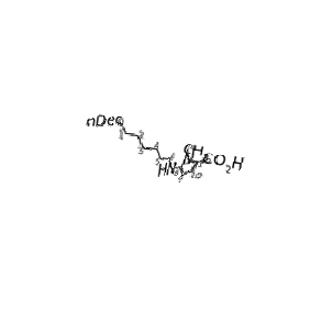 CCCCCCCCCCCCCCCCNc1ccc(C(=O)O)n1C